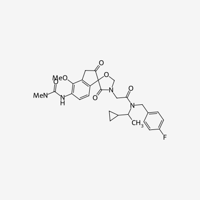 CNC(=O)Nc1ccc2c(c1OC)CC(=O)C21OCN(CC(=O)N(Cc2ccc(F)cc2)C(C)C2CC2)C1=O